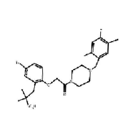 Cc1cc(CN2CCN(C(=O)COc3ccc(Br)cc3CC(C)(C)S(=O)(=O)O)CC2)c(C)cc1F